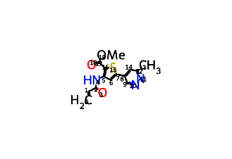 C=CC(=O)Nc1cc(-c2cnnc(C)c2)sc1C(=O)OC